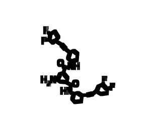 Nc1cc(C(=O)Nc2cccc(C#Cc3ccc(F)c(F)c3)c2)cc(C(=O)Nc2cccc(C#Cc3ccc(F)c(F)c3)c2)c1